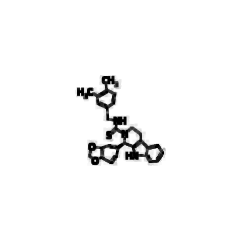 Cc1ccc(CNC(=S)N2CCc3c([nH]c4ccccc34)[C@H]2c2ccc3c(c2)OCO3)cc1C